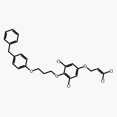 ClC(Cl)=CCOc1cc(Cl)c(OCCCOc2ccc(Cc3ccccc3)cc2)c(Cl)c1